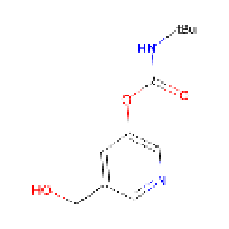 CC(C)(C)NC(=O)Oc1cncc(CO)c1